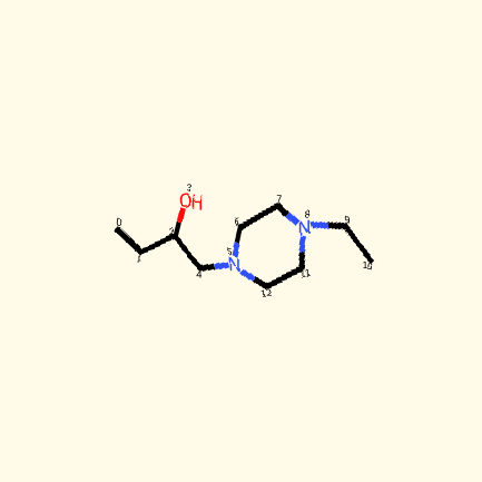 CCC(O)CN1CCN(CC)CC1